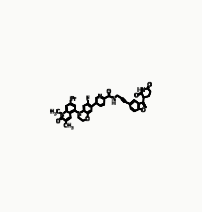 Cc1cc2c(N3CCOc4cc(-c5ccc(C(=O)NCC#Cc6ccc7occ(C8CCC(=O)NC8=O)c7c6)nc5)c(F)cc43)cc(C(C)C)cc2n(C)c1=O